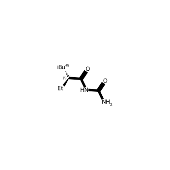 CC[C@@H](C)[C@H](CC)C(=O)NC(N)=O